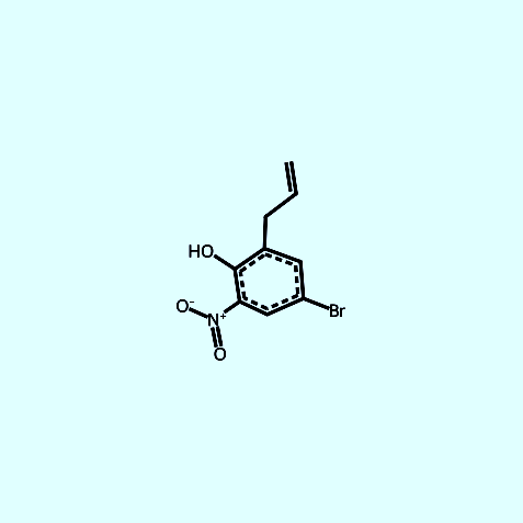 C=CCc1cc(Br)cc([N+](=O)[O-])c1O